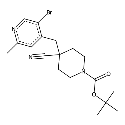 Cc1cc(CC2(C#N)CCN(C(=O)OC(C)(C)C)CC2)c(Br)cn1